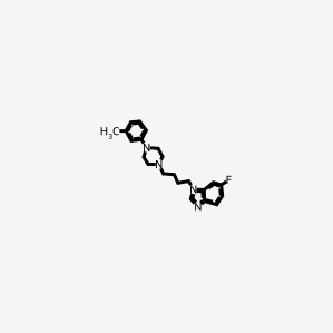 Cc1cccc(N2CCN(CCCCn3cnc4ccc(F)cc43)CC2)c1